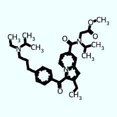 CCc1cc2cc(C(=O)N(CC(=O)OC)C(C)C)ccn2c1C(=O)c1ccc(CCCN(CC)C(C)C)cc1